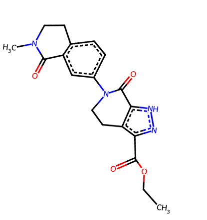 CCOC(=O)c1n[nH]c2c1CCN(c1ccc3c(c1)C(=O)N(C)CC3)C2=O